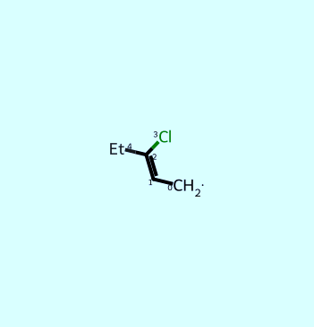 [CH2]/C=C(\Cl)CC